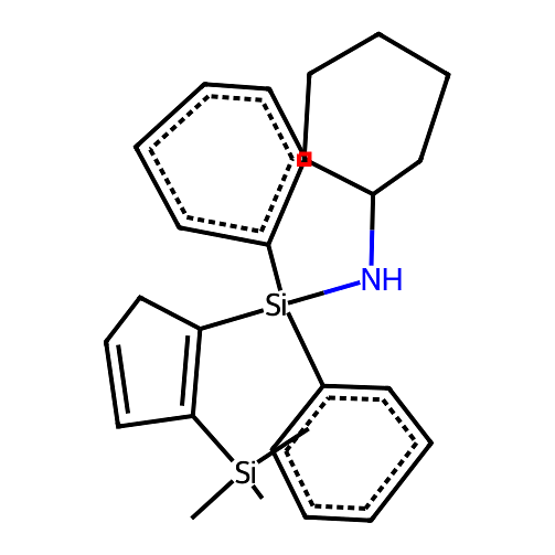 C[Si](C)(C)C1=C([Si](NC2CCCCC2)(c2ccccc2)c2ccccc2)CC=C1